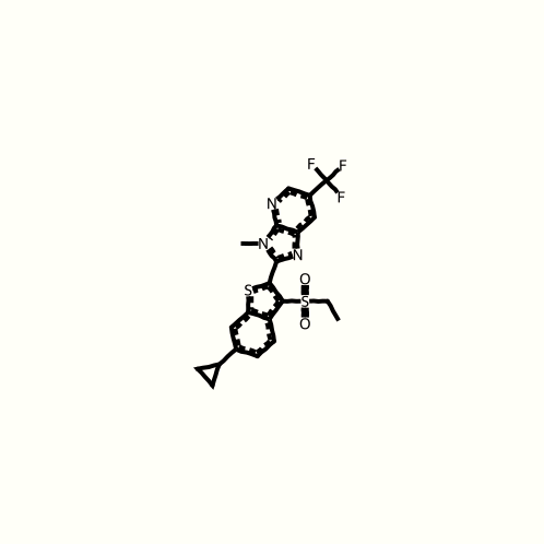 CCS(=O)(=O)c1c(-c2nc3cc(C(F)(F)F)cnc3n2C)sc2cc(C3CC3)ccc12